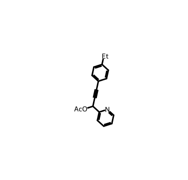 CCc1ccc(C#CC(OC(C)=O)c2ccccn2)cc1